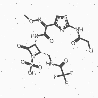 CO/N=C(\C(=O)N[C@H]1C(=O)N(S(=O)(=O)O)[C@H]1CNC(=O)C(F)(F)F)c1csc(NC(=O)CCl)n1